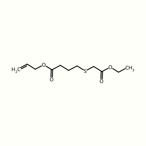 C=CCOC(=O)CCCSCC(=O)OCC